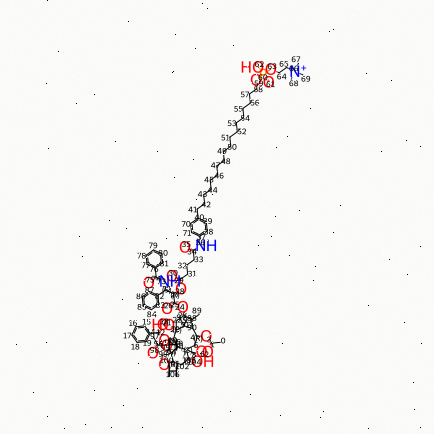 CC(=O)O[C@H]1C(=O)[C@@]2(C)[C@H]([C@H](OC(=O)c3ccccc3)[C@]3(O)CC(OC(=O)[C@H](OC(=O)CCCC(=O)Nc4ccc(CCCCCCCCCCCCCCCCCCOP(=O)(O)OCC[N+](C)(C)C)cc4)[C@@H](NC(=O)c4ccccc4)c4ccccc4)C(C)=C1C3(C)C)[C@]1(OC(C)=O)CO[C@@H]1C[C@@H]2O